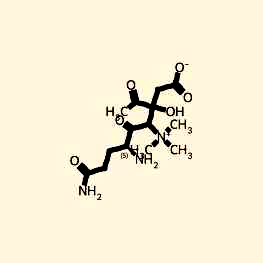 CC(=O)C(O)(CC(=O)[O-])C(C(=O)[C@@H](N)CCC(N)=O)[N+](C)(C)C